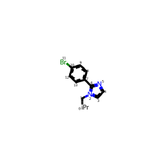 CC(C)Cn1ccnc1-c1ccc(Br)cc1